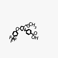 COC[C@@H]1C[C@@H](Oc2ccc(C(F)(F)F)cc2)CN1c1ccc(C(=O)O)cc1